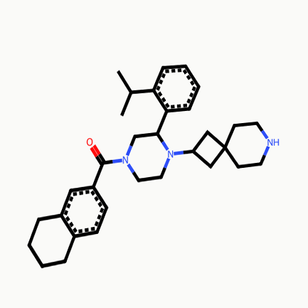 CC(C)c1ccccc1C1CN(C(=O)c2ccc3c(c2)CCCC3)CCN1C1CC2(CCNCC2)C1